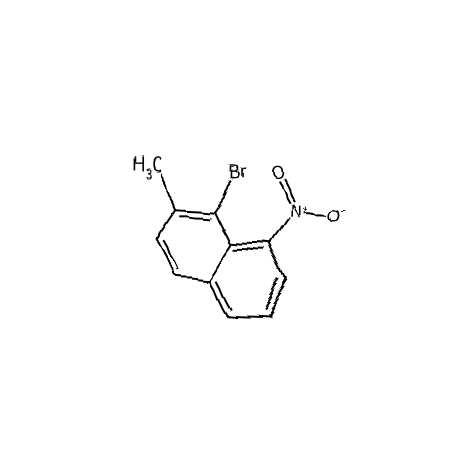 Cc1ccc2cccc([N+](=O)[O-])c2c1Br